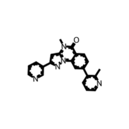 Cc1ncccc1-c1ccc2c(=O)n(C)c3cc(-c4cccnc4)nn3c2c1